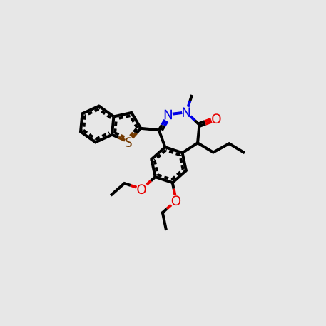 CCCC1C(=O)N(C)N=C(c2cc3ccccc3s2)c2cc(OCC)c(OCC)cc21